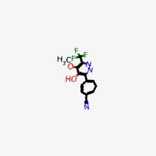 COc1c(C(F)(F)F)nnc(C2=CCC=C(C#N)C=C2)c1O